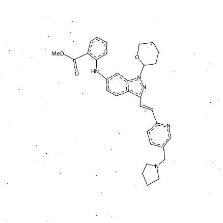 COC(=O)c1ccccc1Nc1ccc2c(/C=C/c3ccc(CN4CCCC4)cn3)nn(C3CCCCO3)c2c1